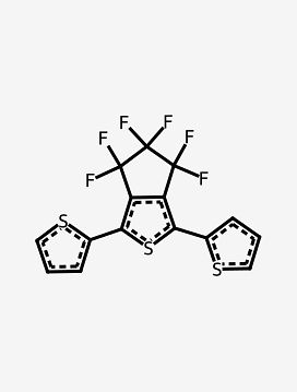 FC1(F)c2c(-c3cccs3)sc(-c3cccs3)c2C(F)(F)C1(F)F